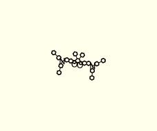 c1ccc(-c2ccc(N(c3ccc(-c4ccccc4)cc3)c3ccc4cc5c(cc4c3)oc3c4oc6cc7cc(N(c8ccc(-c9ccccc9)cc8)c8ccc(-c9ccccc9)cc8)ccc7cc6c4c(-c4ccccc4)c(-c4ccccc4)c53)cc2)cc1